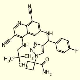 CC(C)(C)CNc1c(C#N)cnc2c(C#N)cc(NC(c3ccc(F)cc3)c3cn(C4(C(N)=O)CCC4)nn3)cc12